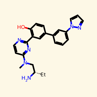 CC[C@H](N)CN(C)c1ccnc(-c2cc(-c3cccc(-n4cccn4)c3)ccc2O)n1